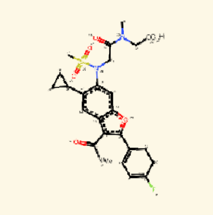 CNC(=O)c1c(C2=CC=C(F)CC2)oc2cc(N(CC(=O)N(C)CC(=O)O)S(C)(=O)=O)c(C3CC3)cc12